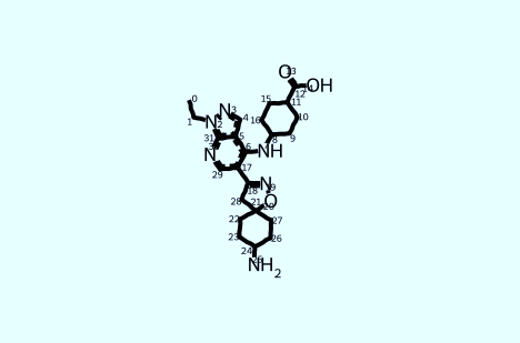 CCn1ncc2c(NC3CCC(C(=O)O)CC3)c(C3=NOC4(CCC(N)CC4)C3)cnc21